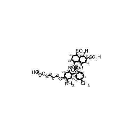 Cc1ccc(S(=O)(=O)Oc2cc(S(=O)(=O)O)cc3c(S(=O)(=O)O)ccc(N=Nc4cc(OCCCSOOO)c(N)cc4C)c23)cc1